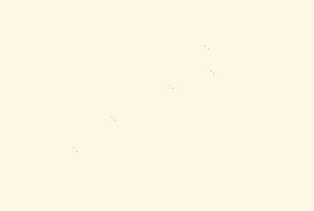 Cc1nc(Cl)c2c(n1)CN(C(=O)CC1CN(c3ccnc(C(F)(F)F)c3)C1)C2